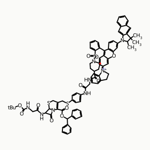 CC1N(c2ccc3c(-c4ccccc4S(=O)(=O)N4CCC(C(=O)NCC(=O)Nc5ccc(SCC6=C(C(=O)OC(c7ccccc7)c7ccccc7)N7C(=O)C(NC(=O)CNC(=O)OC(C)(C)C)C7SC6)cc5)CC4)c4cc/c(=[N+]5/CCc6ccccc65)cc-4oc3c2)c2cc3ccccc3cc2C1(C)C